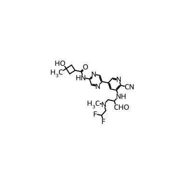 CN(CC(F)F)CC(C=O)Nc1cc(-c2cnc(NC(=O)C3CC(C)(O)C3)cn2)cnc1C#N